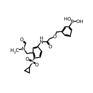 CN(C=O)Cc1cc(NC(=O)COCc2cccc(B(O)O)c2)ccc1S(=O)(=O)C1CC1